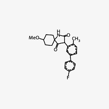 COC1CCC2(CC1)NC(=O)C(c1cc(-c3ccc(F)cc3)ccc1C)C2=O